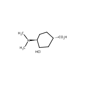 CN(C)[C@H]1CC[C@H](C(=O)O)CC1.Cl